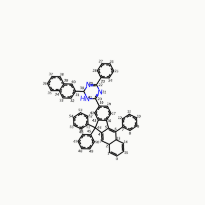 C1=CC2C=C3C(=C(c4ccccc4)C2C=C1)c1ccc(C2=NC(c4ccccc4)=NC(c4ccc5ccccc5c4)N2)cc1C3(c1ccccc1)c1ccccc1